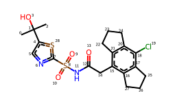 CC(C)(O)c1cnc(S(=O)(=O)NC(=O)Cc2c3c(c(Cl)c4c2CCC4)CCC3)s1